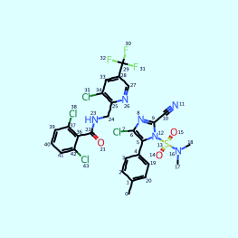 Cc1ccc(-c2c(Cl)nc(C#N)n2S(=O)(=O)N(C)C)cc1.O=C(NCc1ncc(C(F)(F)F)cc1Cl)c1c(Cl)cccc1Cl